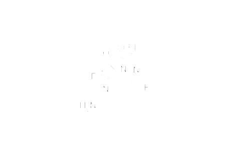 NC1CCN(c2cc3c(cc2F)c(=O)c(C(=O)O)cn3-c2ccc(F)cn2)C1